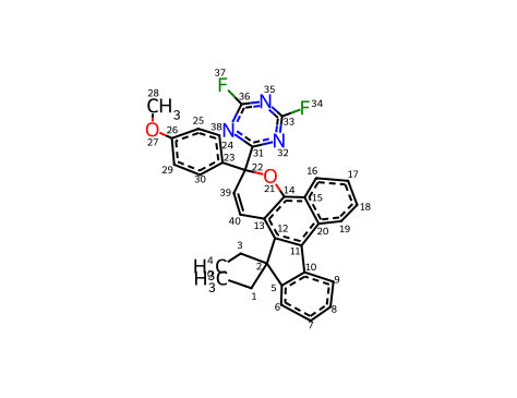 CCC1(CC)c2ccccc2-c2c1c1c(c3ccccc23)OC(c2ccc(OC)cc2)(c2nc(F)nc(F)n2)C=C1